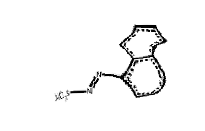 O=S(=O)(O)N=Nc1cccc2ccccc12